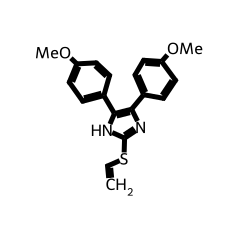 C=CSc1nc(-c2ccc(OC)cc2)c(-c2ccc(OC)cc2)[nH]1